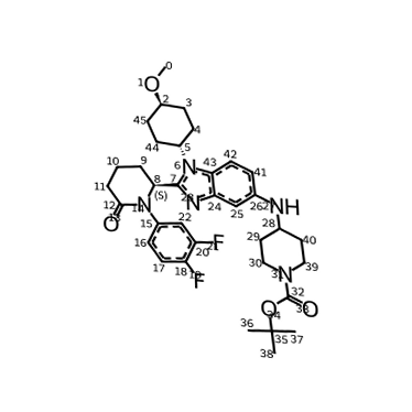 CO[C@H]1CC[C@H](n2c([C@@H]3CCCC(=O)N3c3ccc(F)c(F)c3)nc3cc(NC4CCN(C(=O)OC(C)(C)C)CC4)ccc32)CC1